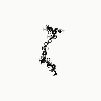 CC(C)n1ccc2c(N3CCC(=O)NC3=O)cc(C(=O)NCCOCCOCCN(C)C(=O)c3ccc(-n4cc(NC(=O)c5coc(-c6ccnc(NCC7CC7)c6)n5)c(C(F)F)n4)cc3)cc21